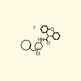 CC[N+]1(C/C2=C/CCCCCC2)CCC(NC(=O)C2c3ccccc3Oc3ccccc32)CC1.[I-]